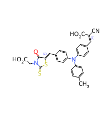 Cc1ccc(N(c2ccc(/C=C(/C#N)C(=O)O)cc2)c2ccc(/C=C3\SC(=S)N(CC(=O)O)C3=O)cc2)cc1